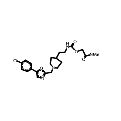 CNC(=O)COC(=O)NCCC1CCN(Cc2ncc(-c3ccc(Cl)cc3)o2)CC1